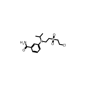 CC(C)N(CCS(=O)(=O)CCCl)c1cccc(C(N)=O)c1